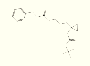 CC(C)(C)OC(=O)NC1(CCCNC(=O)OCc2ccccc2)CC1